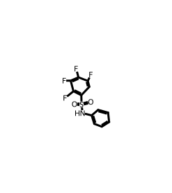 O=S(=O)(Nc1ccccc1)c1cc(F)c(F)c(F)c1F